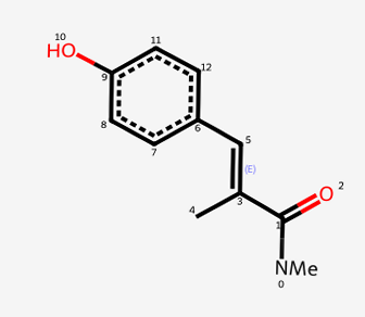 CNC(=O)/C(C)=C/c1ccc(O)cc1